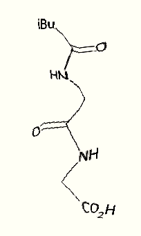 CCC(C)C(=O)NCC(=O)NCC(=O)O